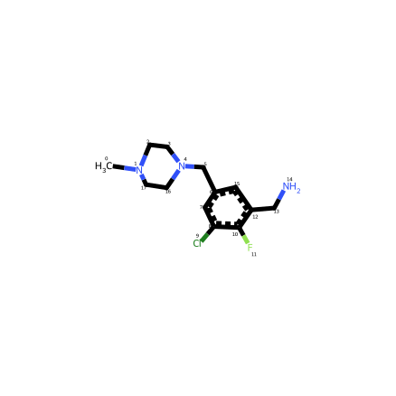 CN1CCN(Cc2cc(Cl)c(F)c(CN)c2)CC1